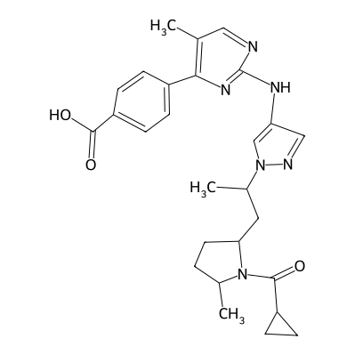 Cc1cnc(Nc2cnn(C(C)CC3CCC(C)N3C(=O)C3CC3)c2)nc1-c1ccc(C(=O)O)cc1